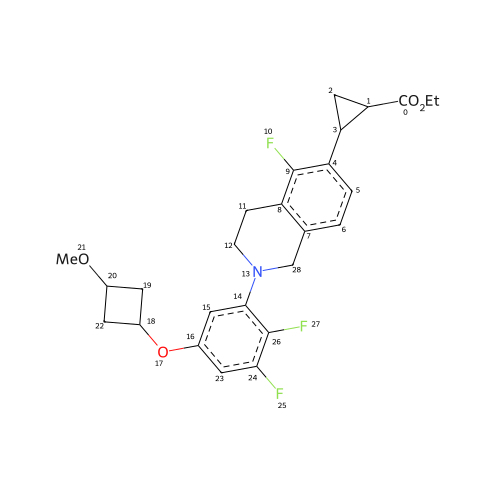 CCOC(=O)C1CC1c1ccc2c(c1F)CCN(c1cc(OC3CC(OC)C3)cc(F)c1F)C2